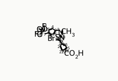 CN(Cc1ccc(CP(=O)(OF)OF)c(Br)c1)c1nc(-c2ccc(C(=O)O)cc2)cs1